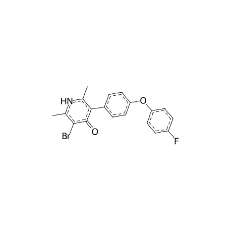 Cc1[nH]c(C)c(-c2ccc(Oc3ccc(F)cc3)cc2)c(=O)c1Br